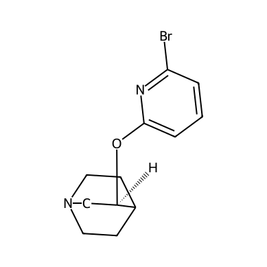 Brc1cccc(O[C@@H]2CN3CCC2CC3)n1